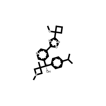 COC1(c2noc(-c3cncc([C@@](O)(c4ccc(C(C)C)cc4)C4(C)CN(C)C4)c3)n2)CCC1